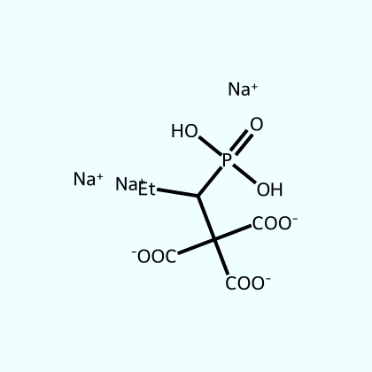 CCC(C(C(=O)[O-])(C(=O)[O-])C(=O)[O-])P(=O)(O)O.[Na+].[Na+].[Na+]